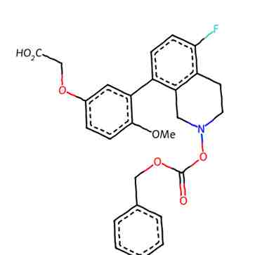 COc1ccc(OCC(=O)O)cc1-c1ccc(F)c2c1CN(OC(=O)OCc1ccccc1)CC2